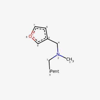 CCCC(C)CN(C)Cc1ccoc1